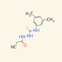 Cc1cc(C)cc(NC(=S)NNC(=O)CC#N)c1